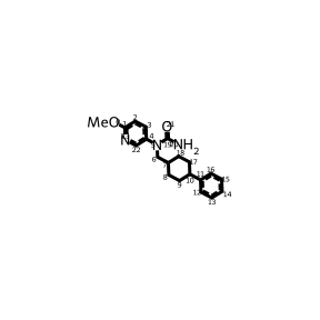 COc1ccc(N(CC2CCC(c3ccccc3)CC2)C(N)=O)cn1